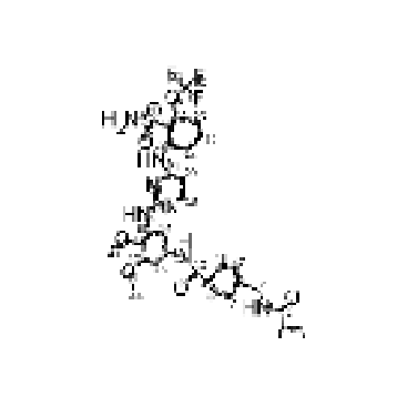 C=CC(=O)NCc1ccc(C(=O)Nc2cc(Nc3nccc(Nc4cccc(OC(F)(F)F)c4S(N)(=O)=O)n3)c(OC)c(OC)c2)cc1